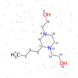 CCCCC1CN(CCO)CCN1CCO